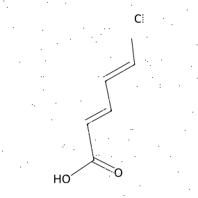 CC=CC=CC(=O)O.[C]